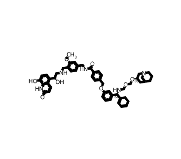 COc1cc(CNC(=O)c2ccc(COc3cccc([C@@H](NCOCO[C@@H]4CC5CCCN(C5)C4)C4=CC=CCC4)c3)cc2)ccc1CNC[C@H](O)c1ccc(O)c2[nH]c(=O)ccc12